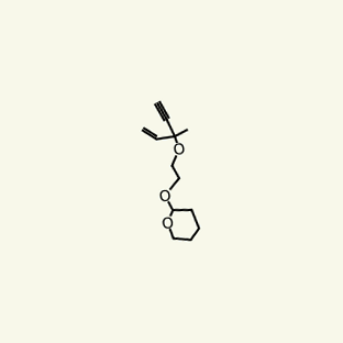 C#CC(C)(C=C)OCCOC1CCCCO1